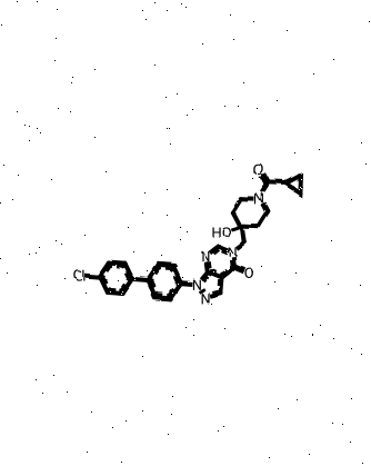 O=C(C1CC1)N1CCC(O)(Cn2cnc3c(cnn3-c3ccc(-c4ccc(Cl)cc4)cc3)c2=O)CC1